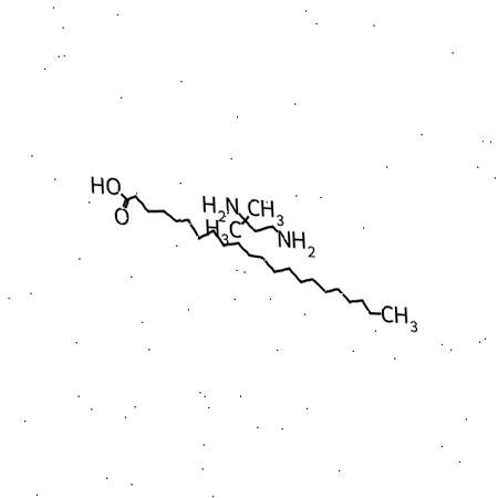 CC(C)(N)CCN.CCCCCCCCCCCCCCCCCCCCCC(=O)O